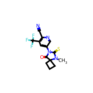 CN1C(=S)N(c2cnc(C#N)c(C(F)(F)F)c2)C(=O)C12CCC2